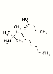 CCCC(=O)O.CCCCCCCC(C)C(C)(C)N